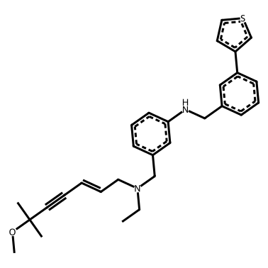 CCN(CC=CC#CC(C)(C)OC)Cc1cccc(NCc2cccc(-c3ccsc3)c2)c1